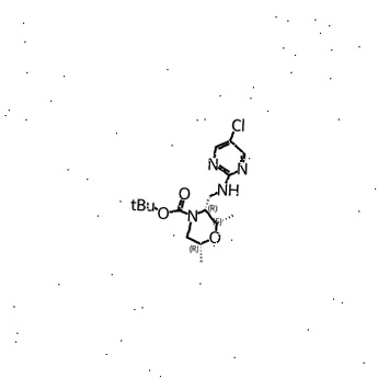 C[C@@H]1CN(C(=O)OC(C)(C)C)[C@H](CNc2ncc(Cl)cn2)[C@H](C)O1